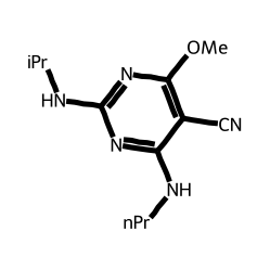 CCCNc1nc(NC(C)C)nc(OC)c1C#N